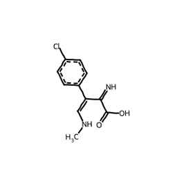 CN/C=C(\C(=N)C(=O)O)c1ccc(Cl)cc1